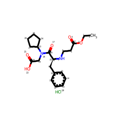 CCOC(=O)CCN[C@@H](Cc1ccccc1)C(=O)N(CC(=O)O)C1CCCC1.Cl